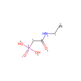 CC(C)CNC(=O)CP(=O)(O)O